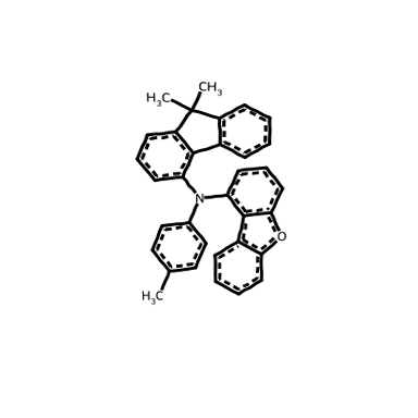 Cc1ccc(N(c2cccc3c2-c2ccccc2C3(C)C)c2cccc3oc4ccccc4c23)cc1